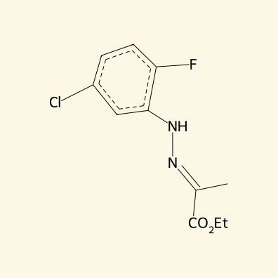 CCOC(=O)C(C)=NNc1cc(Cl)ccc1F